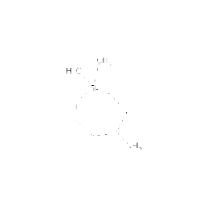 C[Si]1(C)CCCC(N)CC1